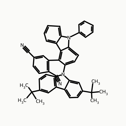 CC(C)(C)c1ccc2c(c1)c1ccc(C(C)(C)C)cc1n2-c1ccc2c(c1-c1cc(C#N)ccc1C#N)c1ccccc1n2-c1ccccc1